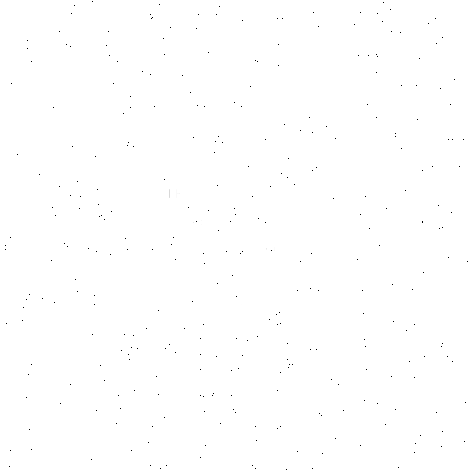 Cl.O=Cc1oc2ccccc2c1O